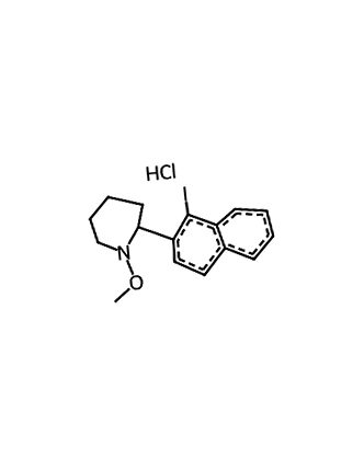 CON1CCCCC1c1ccc2ccccc2c1I.Cl